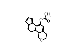 CC(=O)OC1=C2C3=CC=CC3=CCC2C2COCCC2=C1